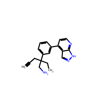 C#CCC(CC)(CN)c1cccc(-c2ccnc3[nH]ncc23)c1